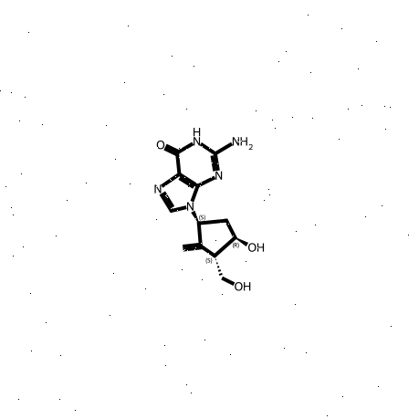 C=C1[C@@H](CO)[C@H](O)C[C@@H]1n1cnc2c(=O)[nH]c(N)nc21